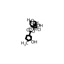 Cc1ccc(C(=O)O[C@H]2[C@@H]3C[C@@H]4OC[C@@](O)([C@H]3[C@H](C)O4)[C@@H]2Cl)cc1O